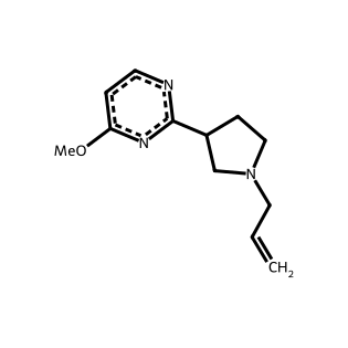 C=CCN1CCC(c2nccc(OC)n2)C1